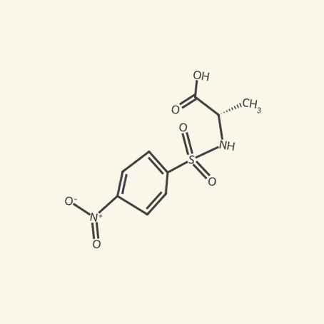 C[C@H](NS(=O)(=O)c1ccc([N+](=O)[O-])cc1)C(=O)O